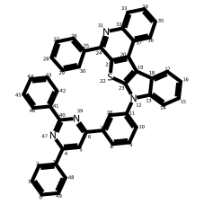 c1ccc(-c2cc(-c3cccc(-n4c5ccccc5c5c6c(sc54)c(-c4ccccc4)nc4ccccc46)c3)nc(-c3ccccc3)n2)cc1